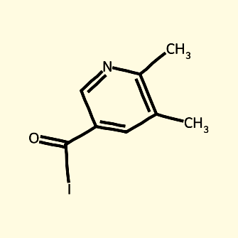 Cc1cc(C(=O)I)cnc1C